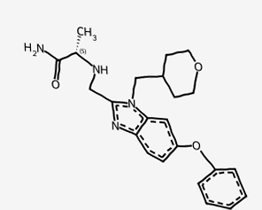 C[C@H](NCc1nc2ccc(Oc3ccccc3)cc2n1CC1CCOCC1)C(N)=O